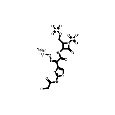 CON=C(C(=O)NC1C(=O)N(S(=O)(=O)[O-])C1COS(=O)(=O)[O-])c1csc(NC(=O)CCl)n1.[Na+].[Na+]